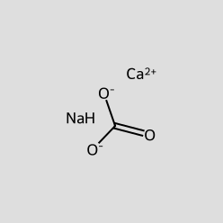 O=C([O-])[O-].[Ca+2].[NaH]